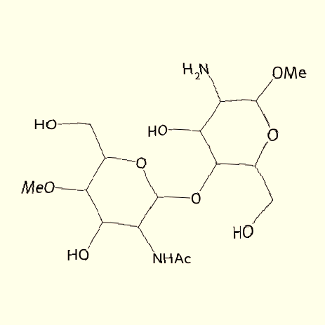 COC1OC(CO)C(OC2OC(CO)C(OC)C(O)C2NC(C)=O)C(O)C1N